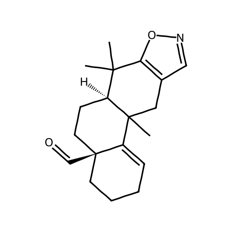 CC12Cc3cnoc3C(C)(C)[C@@H]1CC[C@@]1(C=O)CCCC=C21